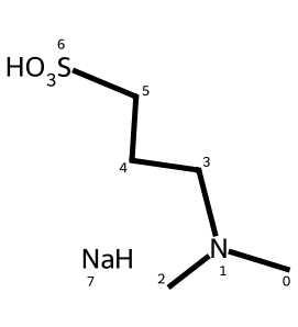 CN(C)CCCS(=O)(=O)O.[NaH]